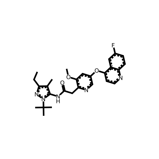 CCc1nn(C(C)(C)C)c(NC(=O)Cc2ncc(Oc3ccnc4ccc(F)cc34)cc2OC)c1C